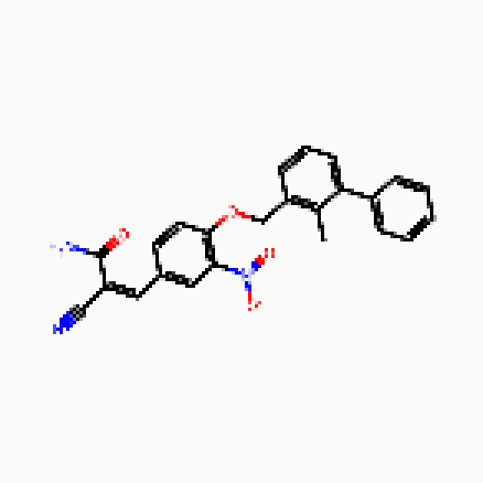 Cc1c(COc2ccc(C=C(C#N)C(N)=O)cc2[N+](=O)[O-])cccc1-c1ccccc1